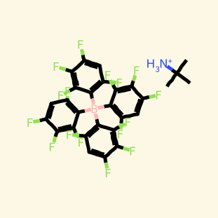 CC(C)(C)[NH3+].Fc1cc(F)c([B-](c2c(F)cc(F)c(F)c2F)(c2c(F)cc(F)c(F)c2F)c2c(F)cc(F)c(F)c2F)c(F)c1F